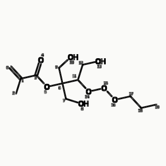 C=C(C)C(=O)OC(CO)(CO)C(CO)OOOCCC